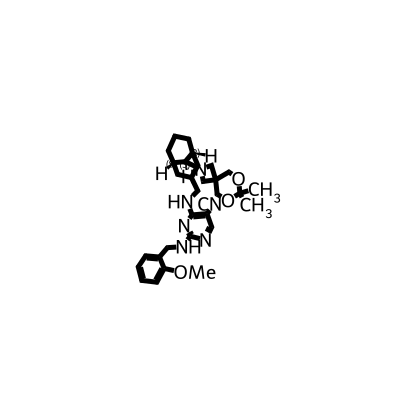 COc1ccccc1CNc1ncc(C#N)c(NCC2C[C@H]3CCC[C@@H](C2)[C@@H]3N2CC3(COC(C)(C)OC3)C2)n1